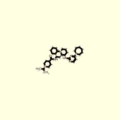 CC(C)N1CCC(C(=O)NCC[C@@H]2[C@@H](Nc3nccc(N4CCCCCC4)n3)CCCN2C2CCCCC2)CC1